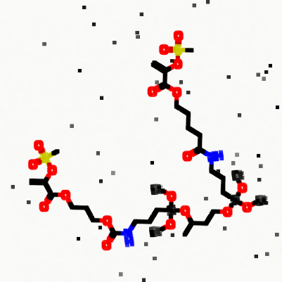 C=C(OS(C)(=O)=O)C(=O)OCCCCC(=O)NCCC[Si](OCC)(OCC)OCCC(C)O[Si](CCCNC(=O)OCCCOC(=O)C(=C)OS(C)(=O)=O)(OCC)OCC